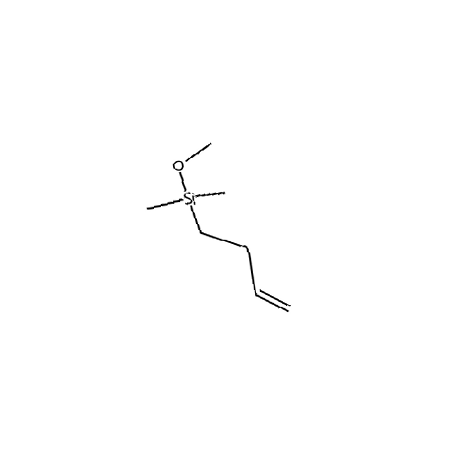 C=CCC[Si](C)(C)OC